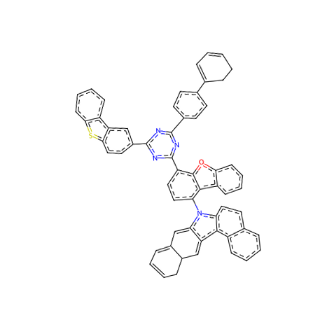 C1=CCCC(c2ccc(-c3nc(-c4ccc5sc6ccccc6c5c4)nc(-c4ccc(-n5c6c(c7c8ccccc8ccc75)=CC5CC=CC=C5C=6)c5c4oc4ccccc45)n3)cc2)=C1